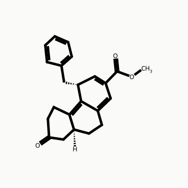 COC(=O)C1=C[C@@H](Cc2ccccc2)C2=C3CCC(=O)C[C@@H]3CCC2=C1